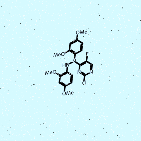 COc1ccc(NN(c2ccc(OC)cc2OC)c2nc(Cl)ncc2F)c(OC)c1